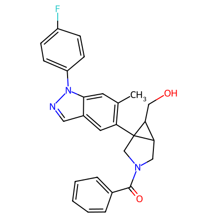 Cc1cc2c(cnn2-c2ccc(F)cc2)cc1C12CN(C(=O)c3ccccc3)CC1C2CO